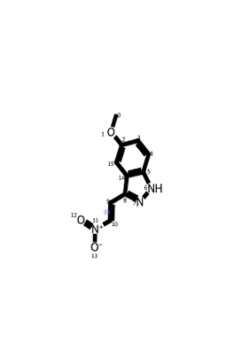 COc1ccc2[nH]nc(/C=C/[N+](=O)[O-])c2c1